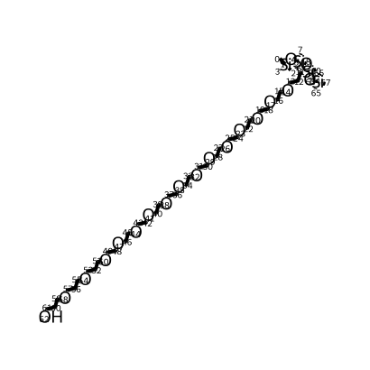 C[Si](C)(C)O[Si](C)(C)O[Si](C)(CCCOCCOCCOCCOCCOCCOCCOCCOCCOCCOCCOCCOCCOCCCOCCCOCCCO)O[Si](C)(C)C